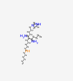 CCCCCCPCCCCCC(C(N)CCCC)C(N)CCCC.c1c[nH]cn1